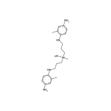 CCC[N+](C)(CCCNc1ccc(N)cc1C)CCCNc1ccc(N)cc1C